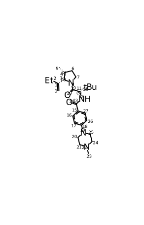 C=C(CC)[C@@H]1[C@H](C)CCN1C(=O)[C@@H](NC(=O)c1ccc(N2CCN(C)CC2)cc1)C(C)(C)C